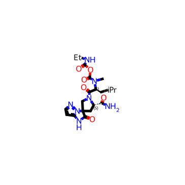 CCNC(=O)OC(=O)N(C)[C@@H](CC(C)C)C(=O)N1CC2(C[C@H]1C(N)=O)C(=O)Nc1ccnn12